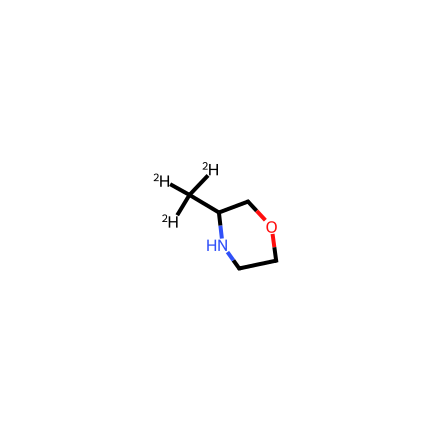 [2H]C([2H])([2H])C1COCCN1